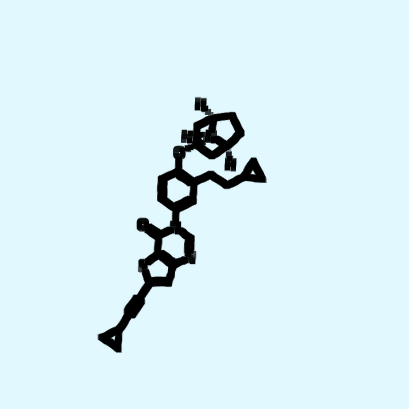 CN1[C@@H]2CC[C@H]1C[C@H](Oc1ccc(-n3cnc4cc(C#CC5CC5)sc4c3=O)cc1CCC1CC1)C2